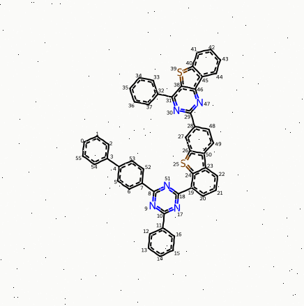 c1ccc(-c2ccc(-c3nc(-c4ccccc4)nc(-c4cccc5c4sc4cc(-c6nc(-c7ccccc7)c7sc8ccccc8c7n6)ccc45)n3)cc2)cc1